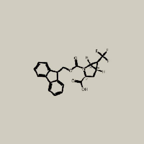 O=C(O)[C@@H]1C[C@H]2C(C(F)(F)F)[C@H]2N1C(=O)OCC1c2ccccc2-c2ccccc21